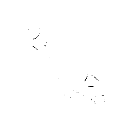 Cc1ccc([C@@H]2CCCO2)c([C@@H](C(=O)O)N2CC[C@@H](OCCCCCc3ccc4c(n3)NCCC4)C2)c1